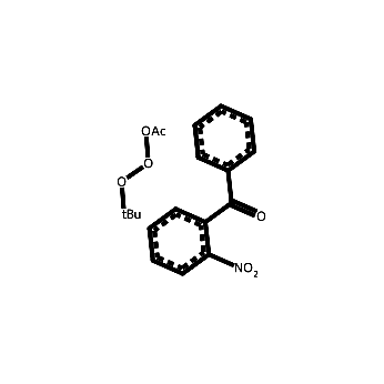 CC(=O)OOOC(C)(C)C.O=C(c1ccccc1)c1ccccc1[N+](=O)[O-]